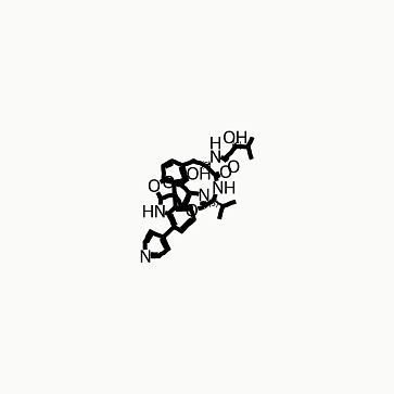 CC(C)[C@H](O)C(=O)N[C@H]1Cc2ccc3c(c2)C2(c4cccc(-c5ccncc5)c4NC2O3)c2oc(nc2C(=O)O)[C@H](C(C)C)NC1=O